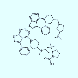 CN(C)[C@@H]1CCN(CC2CCN(c3ncnc4scc(-c5ccccc5)c34)CC2)C1.CN(CCC1(C(C)(C)C)CCCN1C(=O)O)C1CCN(c2ncnc3scc(-c4ccccc4)c23)CC1